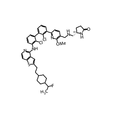 COc1nc(-c2cccc(-c3cccc(Nc4nccc5sc(CCC6CCC(C(C)F)CC6)cc45)c3Cl)c2Cl)ccc1CNC[C@@H]1CCC(=O)N1